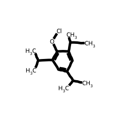 CC(C)c1cc(C(C)C)c(OCl)c(C(C)C)c1